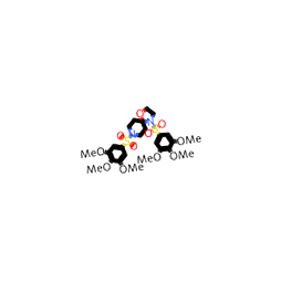 COc1cc(S(=O)(=O)N2CCC3(CC2)OCCN3S(=O)(=O)c2cc(OC)c(OC)c(OC)c2)cc(OC)c1OC